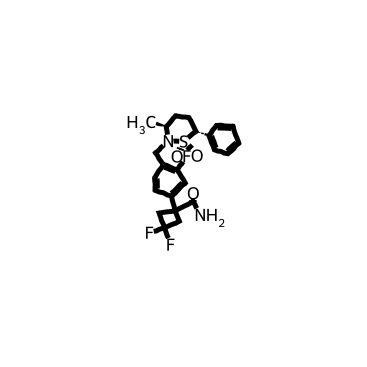 C[C@H]1CC[C@H](c2ccccc2)S(=O)(=O)N1Cc1ccc(C2(C(N)=O)CC(F)(F)C2)cc1F